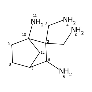 NCC1(CN)C(N)C2CCC1(N)C2